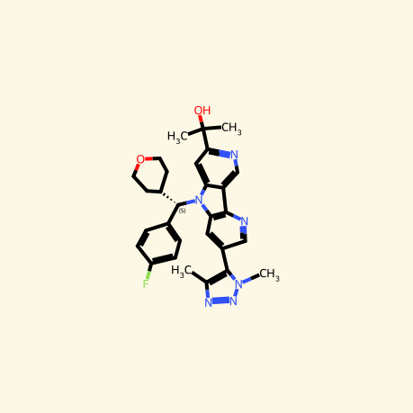 Cc1nnn(C)c1-c1cnc2c3cnc(C(C)(C)O)cc3n([C@H](c3ccc(F)cc3)C3CCOCC3)c2c1